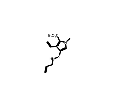 C=CCNSc1cn(C)c(C(=O)OCC)c1C=C